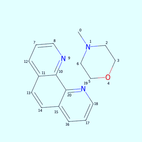 CN1CCOCC1.c1cnc2c(c1)ccc1cccnc12